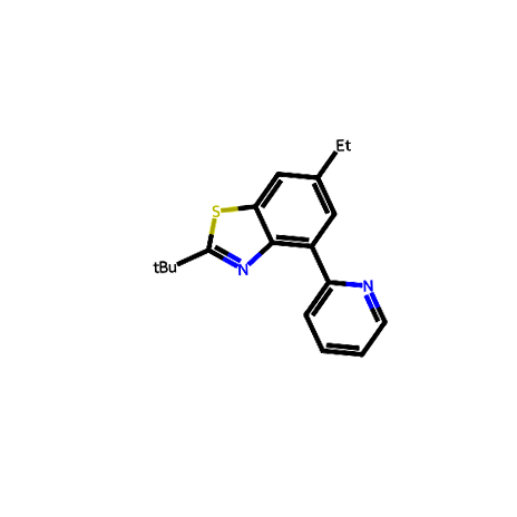 CCc1cc(-c2ccccn2)c2nc(C(C)(C)C)sc2c1